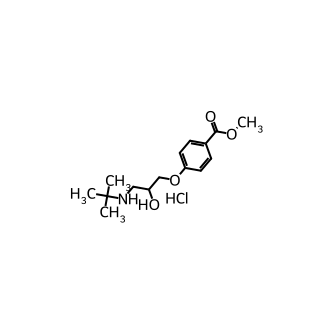 COC(=O)c1ccc(OCC(O)CNC(C)(C)C)cc1.Cl